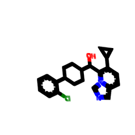 OC(c1c(C2CC2)ccc2cncn12)C1CCC(c2ccccc2Cl)CC1